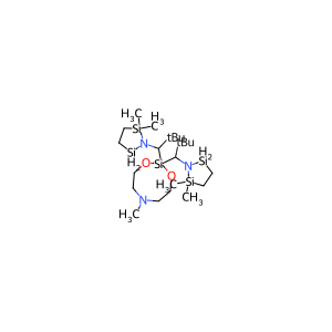 CN1CCO[Si](C(N2[SiH2]CC[Si]2(C)C)C(C)(C)C)(C(N2[SiH2]CC[Si]2(C)C)C(C)(C)C)OCC1